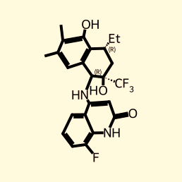 CC[C@@H]1C[C@](O)(C(F)(F)F)C(Nc2cc(=O)[nH]c3c(F)cccc23)c2cc(C)c(C)c(O)c21